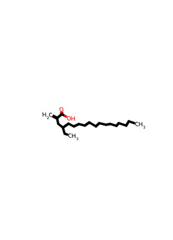 C=C(CC(CC)CCCCCCCCCCCCCC)C(=O)O